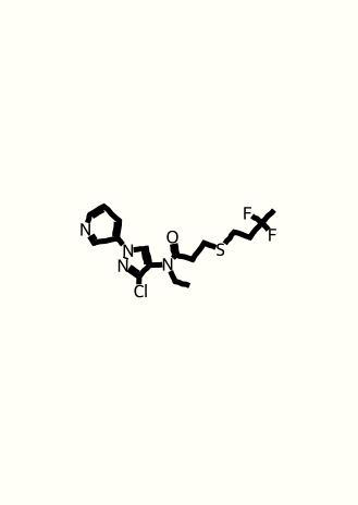 CCN(C(=O)CCSCCC(C)(F)F)c1cn(-c2cccnc2)nc1Cl